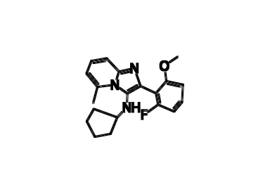 COc1cccc(F)c1-c1nc2cccc(C)n2c1NC1CCCC1